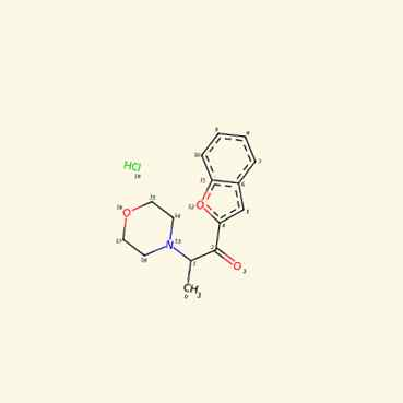 CC(C(=O)c1cc2ccccc2o1)N1CCOCC1.Cl